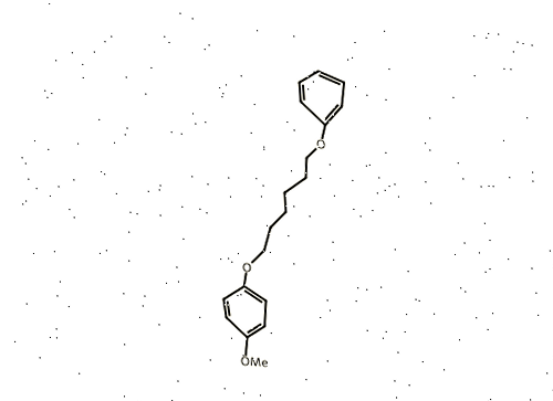 COc1ccc(OCCCCCCOc2ccccc2)cc1